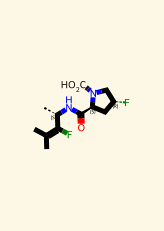 CC(C)=C(F)[C@H](C)NC(=O)[C@@H]1C[C@@H](F)CN1C(=O)O